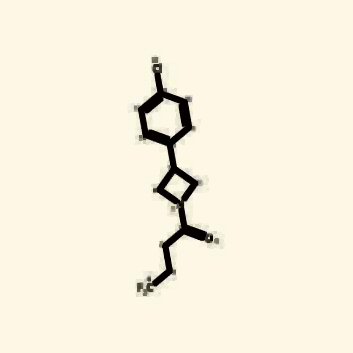 O=C(CCC(F)(F)F)N1CC(c2ccc(Cl)cc2)C1